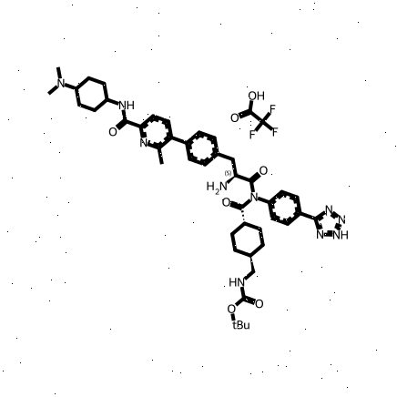 Cc1nc(C(=O)NC2CCC(N(C)C)CC2)ccc1-c1ccc(C[C@H](N)C(=O)N(c2ccc(-c3nn[nH]n3)cc2)C(=O)[C@H]2CC[C@H](CNC(=O)OC(C)(C)C)CC2)cc1.O=C(O)C(F)(F)F